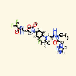 CCN(CCNN(C)C(=O)Cn1ccnn1)c1ccc(N2C[C@H](CNC(=O)C(F)F)OC2=O)cc1F